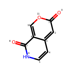 O=c1cc2cc[nH]c(=O)c2co1